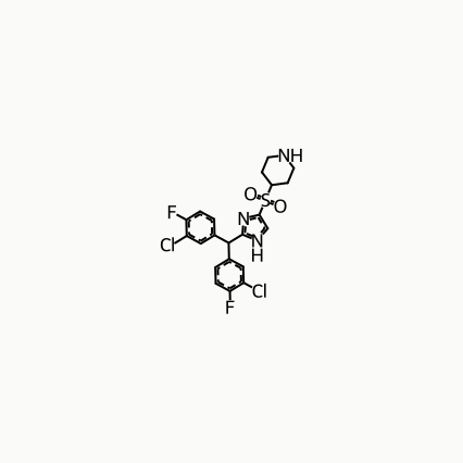 O=S(=O)(c1c[nH]c(C(c2ccc(F)c(Cl)c2)c2ccc(F)c(Cl)c2)n1)C1CCNCC1